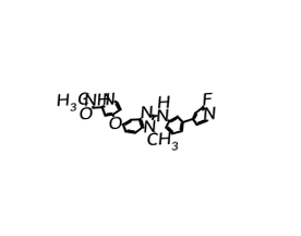 CCn1c(Nc2cccc(-c3ccnc(F)c3)c2)nc2cc(Oc3ccnc(C(=O)NC)c3)ccc21